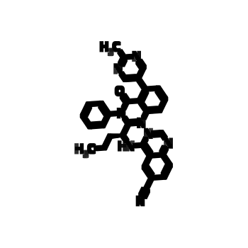 CCC[C@H](Nc1ncnc2ccc(C#N)cc12)c1nc2cccc(-c3cnc(C)nc3)c2c(=O)n1-c1ccccc1